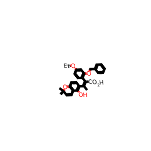 CCOc1ccc(C(C(=O)O)=C(C)c2ccc3c(c2O)C=CC(C)(C)O3)c(OCc2ccccc2)c1